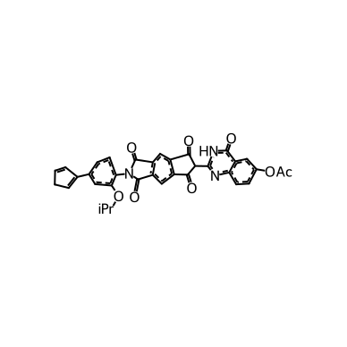 CC(=O)Oc1ccc2nc(C3C(=O)c4cc5c(cc4C3=O)C(=O)N(c3ccc(C4=CCC=C4)cc3OC(C)C)C5=O)[nH]c(=O)c2c1